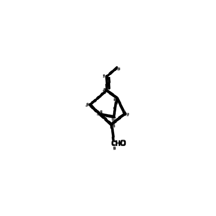 CC=C1C[C]2CC1CC2C=O